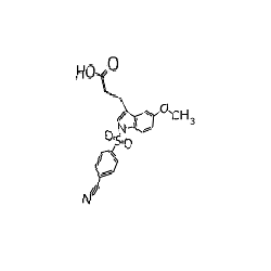 COc1ccc2c(c1)c(CCC(=O)O)cn2S(=O)(=O)c1ccc(C#N)cc1